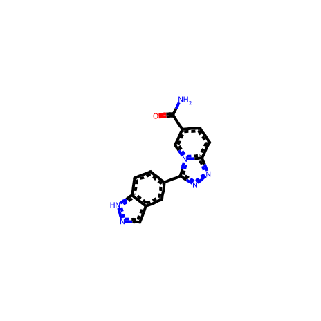 NC(=O)c1ccc2nnc(-c3ccc4[nH]ncc4c3)n2c1